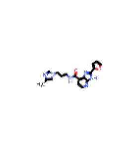 Cc1cn(CCCNC(=O)c2ccnc3[nH]c(-c4ccco4)nc23)cn1